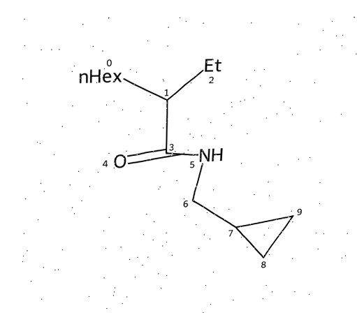 CCCCCCC(CC)C(=O)NCC1CC1